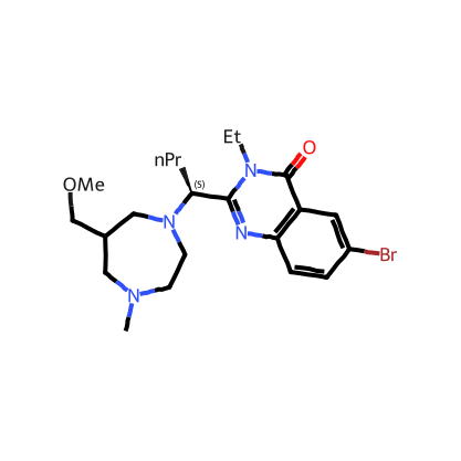 CCC[C@@H](c1nc2ccc(Br)cc2c(=O)n1CC)N1CCN(C)CC(COC)C1